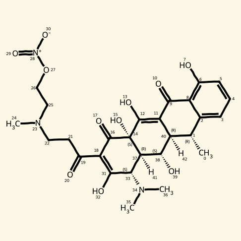 C[C@H]1c2cccc(O)c2C(=O)C2=C(O)[C@]3(O)C(=O)C(C(=O)CCN(C)CCO[N+](=O)[O-])=C(O)[C@@H](N(C)C)[C@@H]3[C@@H](O)[C@@H]21